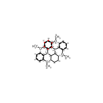 COc1ccccc1P(c1ccccc1OC)C1CCCCC1P(c1ccccc1OC)c1ccccc1OC